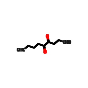 O=CCCCC(=O)C(=O)CCC=O